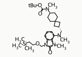 CN(C[C@H]1CC2(CC[C@H](N(C)C(=O)OC(C)(C)C)CC2)C1)c1cccc2c1n(C)c(=O)n2COCC[Si](C)(C)C